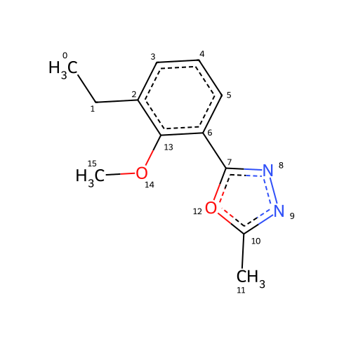 CCc1cccc(-c2nnc(C)o2)c1OC